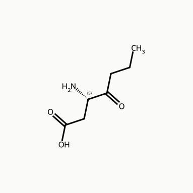 CCCC(=O)[C@@H](N)CC(=O)O